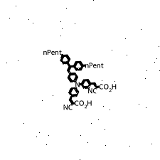 CCCCCc1ccc(C(=Cc2ccc(N(c3ccc(/C=C(/C#N)C(=O)O)cc3)c3ccc(/C=C(\C#N)C(=O)O)cc3)cc2)c2ccc(CCCCC)cc2)cc1